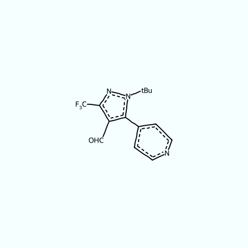 CC(C)(C)n1nc(C(F)(F)F)c(C=O)c1-c1ccncc1